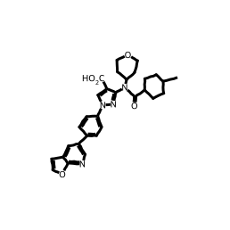 CC1CCC(C(=O)N(c2nn(-c3ccc(-c4cnc5occc5c4)cc3)cc2C(=O)O)C2CCOCC2)CC1